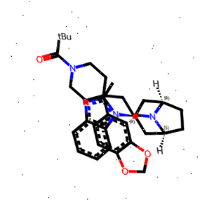 Cc1nc2ccccc2n1[C@H]1C[C@H]2CC[C@@H](C1)N2CCC1(c2ccc3c(c2)OCO3)CCN(C(=O)C(C)(C)C)CC1